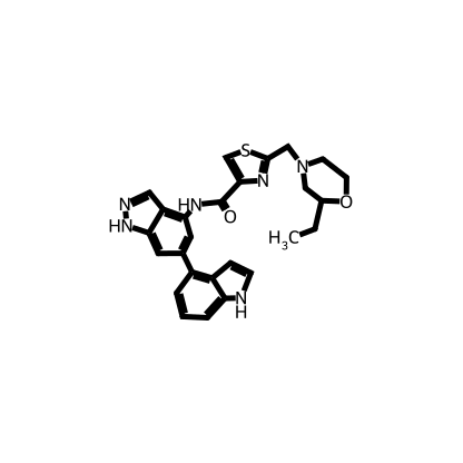 CCC1CN(Cc2nc(C(=O)Nc3cc(-c4cccc5[nH]ccc45)cc4[nH]ncc34)cs2)CCO1